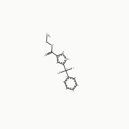 CCOC(=O)c1cc(C(F)(F)c2ccccc2)on1